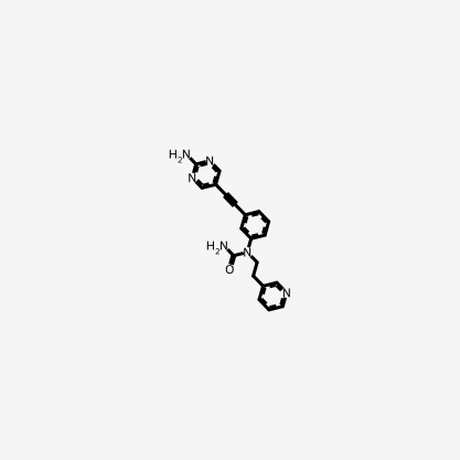 NC(=O)N(CCc1cccnc1)c1cccc(C#Cc2cnc(N)nc2)c1